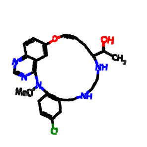 CON1C2=C(CNCCNC(C(C)O)C/C=C\Oc3ccc4ncnc1c4c3)CC(Cl)=CC2